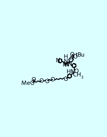 COC(=O)CCCOCCOCCOCCCCCCOc1ccc(C(C)NC(=O)c2cccc(NC3(c4nnc(-c5ccncc5)[nH]4)CCN(C(=O)OC(C)(C)C)CC3)c2)cc1